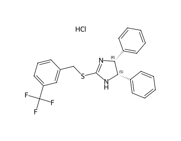 Cl.FC(F)(F)c1cccc(CSC2=N[C@H](c3ccccc3)[C@H](c3ccccc3)N2)c1